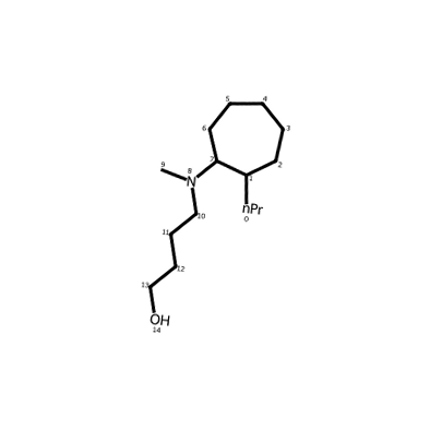 CCCC1CCCCCC1N(C)CCCCO